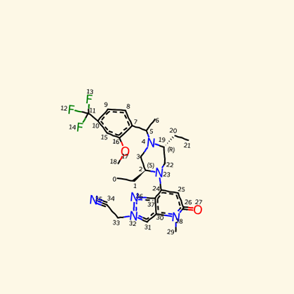 CC[C@H]1CN(C(C)c2ccc(C(F)(F)F)cc2OC)[C@H](CC)CN1c1cc(=O)n(C)c2cn(CC#N)nc12